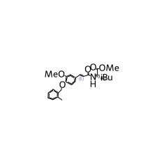 CC[C@@H](C)[C@@H](NC(=O)/C=C/c1ccc(OCc2ccccc2C)c(OC)c1)C(=O)OC